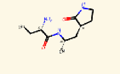 CC(C)(C)C[C@H](N)C(=O)N[C@@H](C#N)C[C@@H]1CCNC1=O